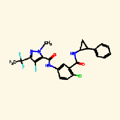 Cn1nc(C(F)(F)C(F)(F)F)c(F)c1C(=O)Nc1ccc(Cl)c(C(=O)NC2CC2c2ccccc2)c1